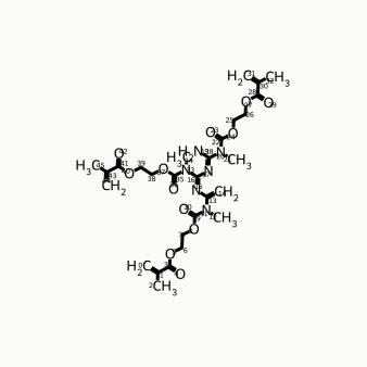 C=C(C)C(=O)OCCOC(=O)N(C)C(=C)/N=C(\N=C(/N)N(C)C(=O)OCCOC(=O)C(=C)C)N(C)C(=O)OCCOC(=O)C(=C)C